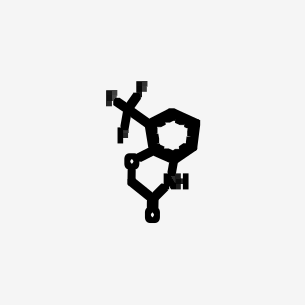 O=C1COc2c(cccc2C(F)(F)F)N1